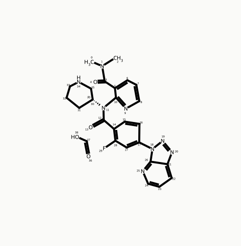 CN(C)C(=O)c1cccnc1N(C(=O)c1ccc(-n2nnc3cccnc32)cc1F)[C@@H]1CCCNC1.O=CO